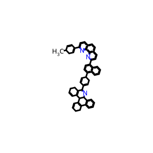 CC1C=CC(c2ccc3ccc4ccc(-c5ccc(C6C=CC(C7=NC8c9ccccc9C9=C(C=CCC9)C8C8=C7CCC=C8)=CC6)c6ccccc56)nc4c3n2)=CC1